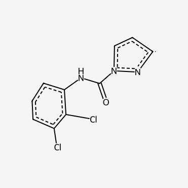 O=C(Nc1cccc(Cl)c1Cl)n1cc[c]n1